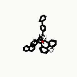 c1ccc(-c2ccc(-c3nc(-c4ccccc4)nc(-c4cccc5oc6cccc(-c7cccc8sc9c%10ccccc%10ccc9c78)c6c45)n3)cc2)cc1